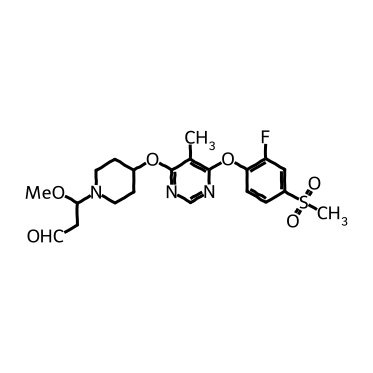 COC(CC=O)N1CCC(Oc2ncnc(Oc3ccc(S(C)(=O)=O)cc3F)c2C)CC1